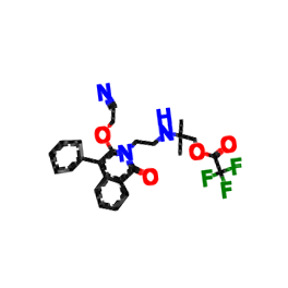 CC(C)(COC(=O)C(F)(F)F)NCCn1c(OCC#N)c(-c2ccccc2)c2ccccc2c1=O